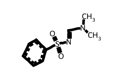 CN(C)C=NS(=O)(=O)c1ccccc1